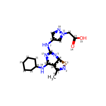 Cc1nsc2nc(Nc3cnn(CC(=O)O)c3)nc(NC3CCCCC3)c12